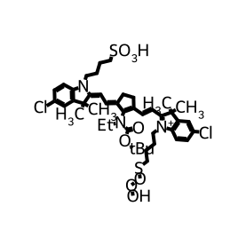 CCN(C(=O)OC(C)(C)C)C1=C(/C=C/C2=[N+](CCCCSOOO)c3ccc(Cl)cc3C2(C)C)CC/C1=C\C=C1\N(CCCCS(=O)(=O)O)c2ccc(Cl)cc2C1(C)C